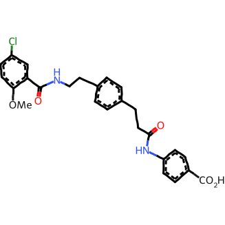 COc1ccc(Cl)cc1C(=O)NCCc1ccc(CCC(=O)Nc2ccc(C(=O)O)cc2)cc1